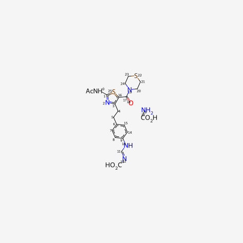 CC(=O)Nc1nc(CCc2ccc(NC=NC(=O)O)cc2)c(C(=O)N2CCSCC2)s1.NC(=O)O